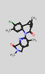 CC#CC(=O)N(c1cc(C)c(Br)cc1C1CC1)c1nc2c(cc1C)CN(C)C2=O